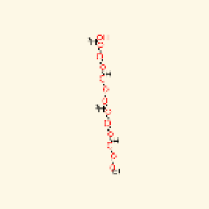 [2H]C(O)OCCOCCOCC([2H])OCCOCCOCC([2H])OCCOCCOCC([2H])OCCOCCOCC